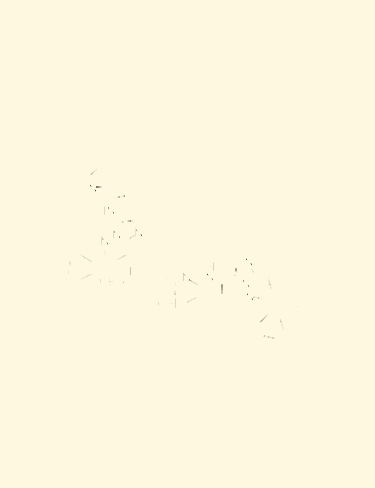 Cc1cnc(C(=O)Nc2cnc3c(CC(O)C(CO)Oc4cccc(NC(=O)c5cnc6ccc(-c7ccccc7C(F)(F)F)nn56)n4)cc(-c4ccccc4C(F)(F)F)nn23)s1